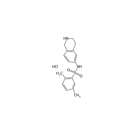 Cc1ccc(C)c(S(=O)(=O)Nc2ccc3c(c2)CCNC3)c1.Cl